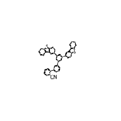 N#Cc1ccccc1-c1cccc(-c2cc(-c3ccc4sc5ccccc5c4c3)cc(-c3ccc4sc5ccccc5c4c3)c2)c1